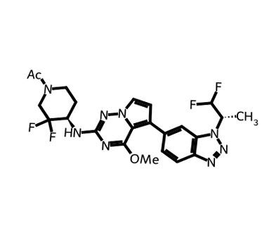 COc1nc(N[C@@H]2CCN(C(C)=O)CC2(F)F)nn2ccc(-c3ccc4nnn([C@@H](C)C(F)F)c4c3)c12